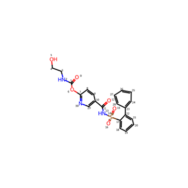 O=C(NCCO)Oc1ccc(C(=O)NS(=O)(=O)c2ccccc2-c2ccccc2)cn1